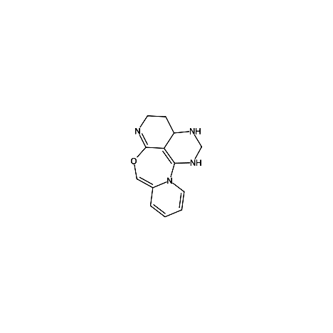 C1=CC2=COC3=NCCC4NCNC(=C34)N2C=C1